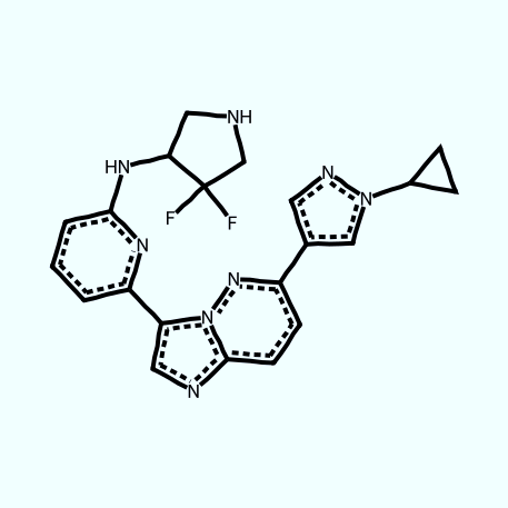 FC1(F)CNCC1Nc1cccc(-c2cnc3ccc(-c4cnn(C5CC5)c4)nn23)n1